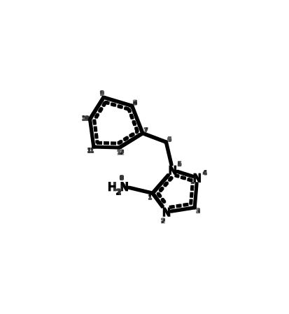 Nc1ncnn1Cc1ccccc1